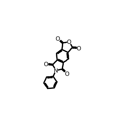 O=c1oc(=O)c2cc3c(=O)n(-c4ccccc4)c(=O)c3cc12